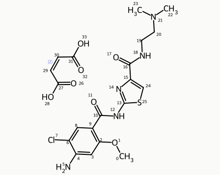 COc1cc(N)c(Cl)cc1C(=O)Nc1nc(C(=O)NCCN(C)C)cs1.O=C(O)/C=C\C(=O)O